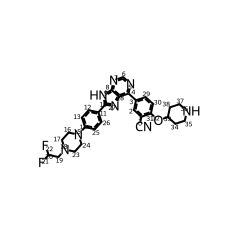 N#Cc1cc(-c2ncnc3[nH]c(-c4ccc(N5CCN(CC(F)F)CC5)cc4)nc23)ccc1OC1CCNCC1